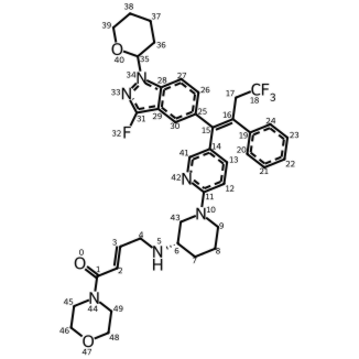 O=C(/C=C/CN[C@H]1CCCN(c2ccc(/C(=C(/CC(F)(F)F)c3ccccc3)c3ccc4c(c3)c(F)nn4C3CCCCO3)cn2)C1)N1CCOCC1